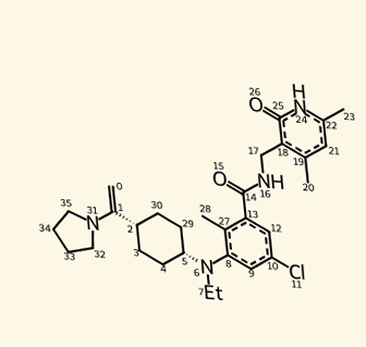 C=C([C@H]1CC[C@@H](N(CC)c2cc(Cl)cc(C(=O)NCc3c(C)cc(C)[nH]c3=O)c2C)CC1)N1CCCC1